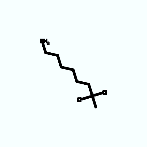 C[Si](Cl)(Cl)CCCCCCN